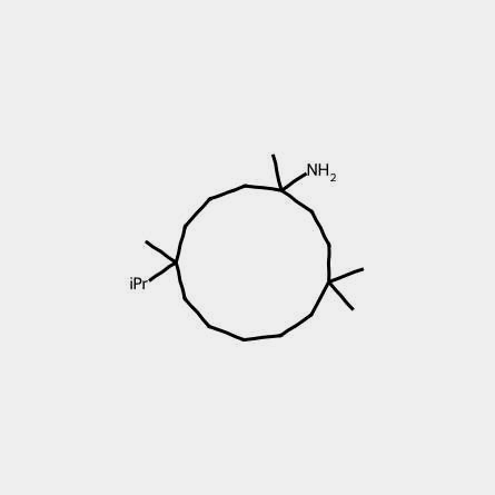 CC(C)C1(C)CCCCCC(C)(C)CCC(C)(N)CCC1